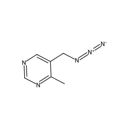 Cc1ncncc1CN=[N+]=[N-]